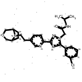 CC(C)NC(=O)Cn1nc(-c2ccc(CCN3C4CCC3COC4)cn2)nc1-c1cccc(Cl)c1